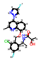 Cc1cc(-n2cc(F)cn2)c2cccc(OCc3c(Cl)cc(F)cc3[C@H](C)NC(=O)C(C)O)c2n1